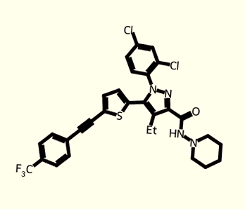 CCc1c(C(=O)NN2CCCCC2)nn(-c2ccc(Cl)cc2Cl)c1-c1ccc(C#Cc2ccc(C(F)(F)F)cc2)s1